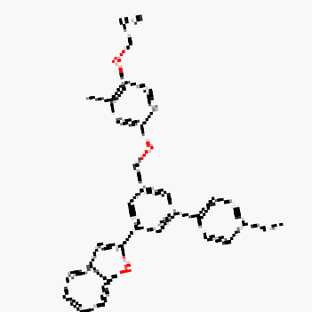 COc1ccc(-c2cc(COc3ccc(OCC(=O)O)c(C)c3)cc(-c3cc4ccccc4o3)c2)cc1